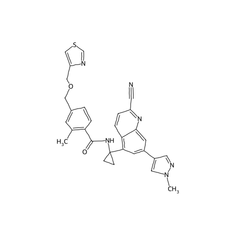 Cc1cc(COCc2cscn2)ccc1C(=O)NC1(c2cc(-c3cnn(C)c3)cc3nc(C#N)ccc23)CC1